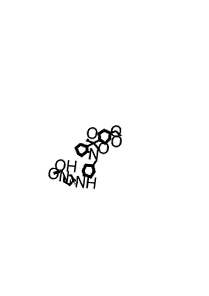 O=C(O)N1CC[C@@H](Nc2ccc(CN3C(=O)C4(COc5cc6c(cc54)OCO6)c4ccccc43)cc2)C1